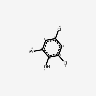 CC(C)c1cc(Cl)cc(Cl)c1O